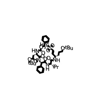 CC(C)[C@H](NC(=O)[C@@H](NC(=O)[C@H](CC(=O)OC(C)(C)C)NC(=O)OCc1ccccc1)c1ccccc1)C(=O)N[C@H](/C=C/S(C)(=O)=O)CCCOC(C)(C)C